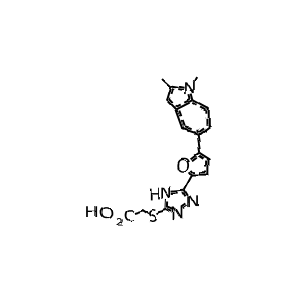 Cc1cc2cc(-c3ccc(-c4nnc(SCC(=O)O)[nH]4)o3)ccc2n1C